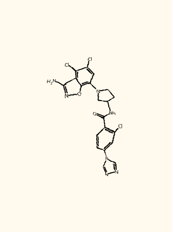 Nc1noc2c(N3CCC(NC(=O)c4ccc(-n5cnnc5)cc4Cl)C3)cc(Cl)c(Cl)c12